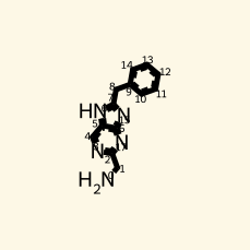 NCc1ncc2[nH]c(Cc3ccccc3)nc2n1